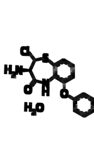 N[C@@H]1C(=O)Nc2c(Oc3ccccc3)cccc2SC1Cl.O